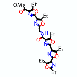 CCc1nc(-c2nc(-c3nc(C(=O)NCc4nc(-c5nc(C(=O)OC)c(CC)o5)c(CC)o4)c(CC)o3)c(CC)o2)c(CC)o1